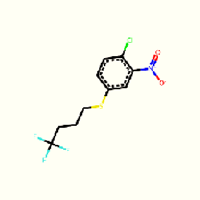 O=[N+]([O-])c1cc(SCCCC(F)(F)F)ccc1Cl